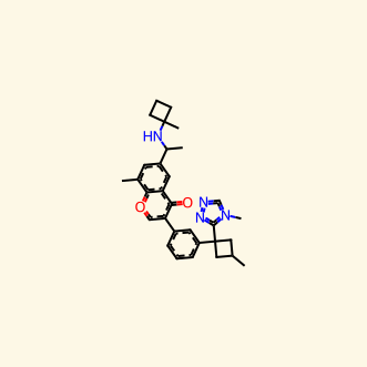 Cc1cc(C(C)NC2(C)CCC2)cc2c(=O)c(-c3cccc(C4(c5nncn5C)CC(C)C4)c3)coc12